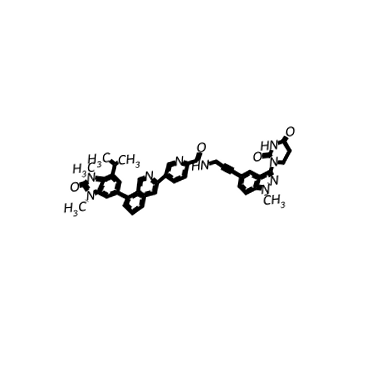 CC(C)c1cc(-c2cccc3cc(-c4ccc(C(=O)NCC#Cc5ccc6c(c5)c(N5CCC(=O)NC5=O)nn6C)nc4)ncc23)cc2c1n(C)c(=O)n2C